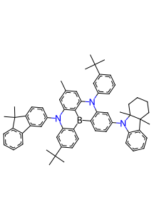 Cc1cc2c3c(c1)N(c1ccc4c(c1)-c1ccccc1C4(C)C)c1cc(C(C)(C)C)ccc1B3c1ccc(N3c4ccccc4C4(C)CCCCC34C)cc1N2c1cccc(C(C)(C)C)c1